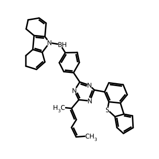 C/C=C\C=C(/C)c1nc(-c2ccc(Bn3c4c(c5c3C=CCC5)CCC=C4)cc2)nc(-c2cccc3c2sc2ccccc23)n1